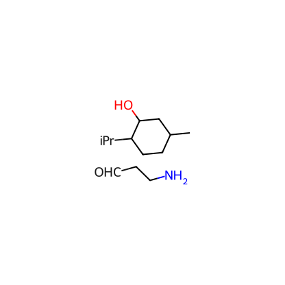 CC1CCC(C(C)C)C(O)C1.NCCC=O